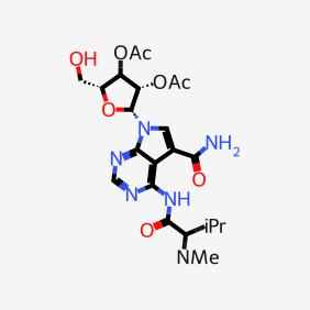 CNC(C(=O)Nc1ncnc2c1c(C(N)=O)cn2[C@@H]1O[C@H](CO)C(OC(C)=O)[C@@H]1OC(C)=O)C(C)C